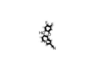 N#Cc1cc2c(Oc3cc(F)c(F)cc3O)cccn2c1